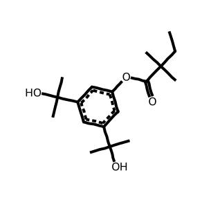 CCC(C)(C)C(=O)Oc1cc(C(C)(C)O)cc(C(C)(C)O)c1